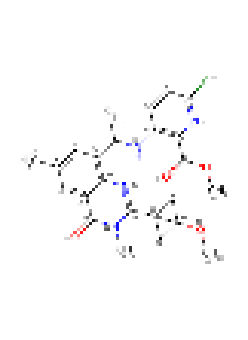 COC(=O)c1nc(Cl)ccc1NC(C)c1cc(C)cc2c(=O)n(C)c(C34CC3(OC)C4)nc12